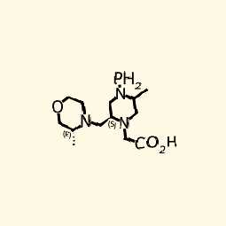 CC1CN(CC(=O)O)[C@@H](CN2CCOC[C@H]2C)CN1P